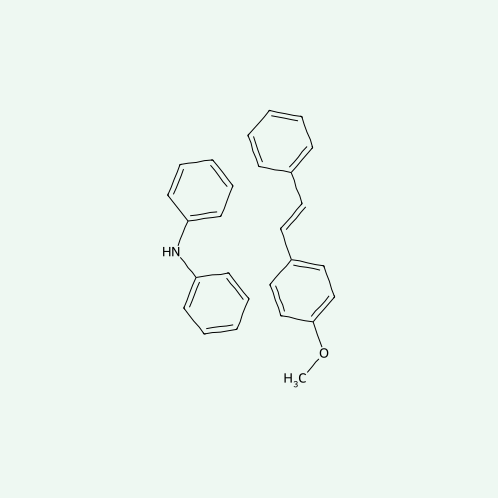 COc1ccc(C=Cc2ccccc2)cc1.c1ccc(Nc2ccccc2)cc1